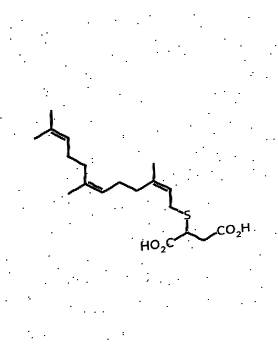 CC(C)=CCCC(C)=CCCC(C)=CCSC(CC(=O)O)C(=O)O